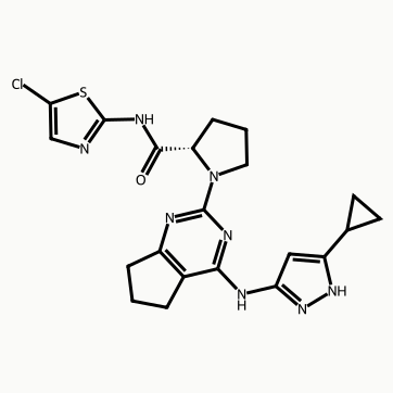 O=C(Nc1ncc(Cl)s1)[C@@H]1CCCN1c1nc2c(c(Nc3cc(C4CC4)[nH]n3)n1)CCC2